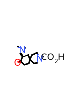 CN(C)C=C1CC2(CCC1=O)CCN(C(=O)O)CC2